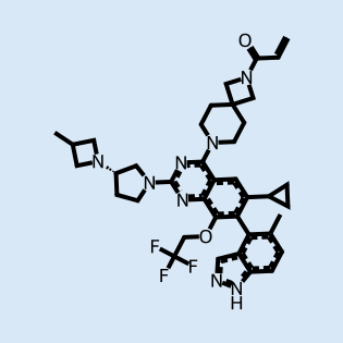 C=CC(=O)N1CC2(CCN(c3nc(N4CC[C@H](N5CC(C)C5)C4)nc4c(OCC(F)(F)F)c(-c5c(C)ccc6[nH]ncc56)c(C5CC5)cc34)CC2)C1